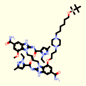 CCn1nc(C)cc1C(=O)/N=c1/[nH]c2cc(C(N)=O)cc(OC)c2n1C/C=C/Cn1/c(=N\C(=O)c2cc(C)nn2CC)[nH]c2cc(C(N)=O)cc(OCCCN3CCN(CCCCCCO[Si](C)(C)C(C)(C)C)CC3)c21